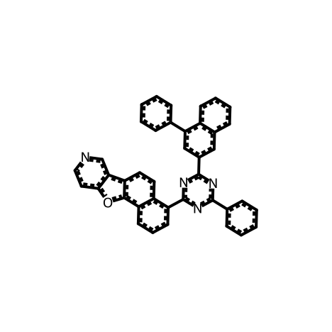 c1ccc(-c2nc(-c3cc(-c4ccccc4)c4ccccc4c3)nc(-c3cccc4c3ccc3c5cnccc5oc43)n2)cc1